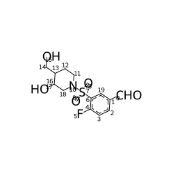 O=Cc1ccc(F)c(S(=O)(=O)N2CCC(CO)C(O)C2)c1